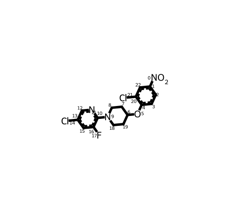 O=[N+]([O-])c1ccc(OC2CCN(c3ncc(Cl)cc3F)CC2)c(Cl)c1